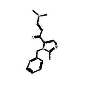 Cc1ncc(C(=O)/C=C/N(C)C)n1Cc1ccccc1